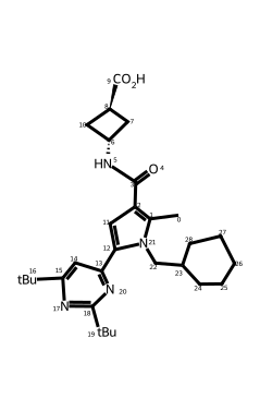 Cc1c(C(=O)N[C@H]2C[C@H](C(=O)O)C2)cc(-c2cc(C(C)(C)C)nc(C(C)(C)C)n2)n1CC1CCCCC1